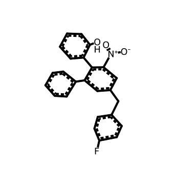 O=[N+]([O-])c1cc(Cc2ccc(F)cc2)cc(-c2ccccc2)c1-c1ccccc1O